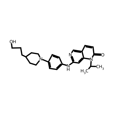 CC(C)n1c(=O)ccc2cnc(Nc3ccc(N4CCC(CCCO)CC4)cc3)cc21